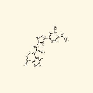 O=C1CCC(C(=O)Nc2ncc(-c3ccc(OC(F)(F)F)c(Cl)c3)s2)n2cccc21